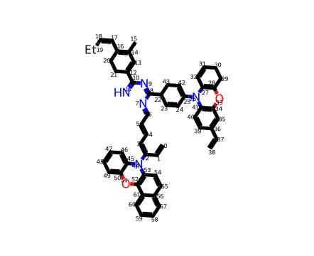 C=C\C(=C/C=C/C=N/C(=N\C(=N)C1=CC(C)=C(/C=C\CC)CC1)C1C=CC(N2C3=C(CCC=C3)Oc3cc(C=C)ccc32)=CC1)N1c2ccccc2Oc2c1ccc1ccccc21